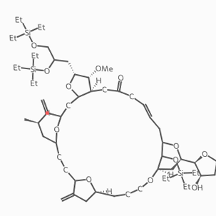 C=C1C[C@@H]2CCCO[C@@H]3C[C@H]([C@H]4OCC[C@H]4O)OC(C/C=C/CC(=O)C[C@H]4C(C[C@H]5OC(CCC1O2)C[C@@H](C)C5=C)O[C@H](CC(CO[Si](CC)(CC)CC)O[Si](CC)(CC)CC)[C@@H]4OC)C3O[Si](CC)(CC)CC